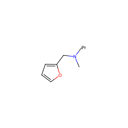 CC(C)N(C)Cc1ccco1